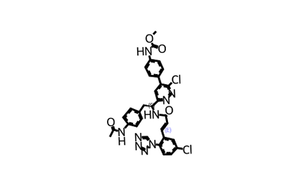 COC(=O)Nc1ccc(-c2cc([C@H](Cc3ccc(NC(C)=O)cc3)NC(=O)/C=C/c3cc(Cl)ccc3-n3cnnn3)nnc2Cl)cc1